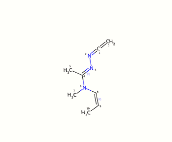 C=C=N/N=C(\C)N(C)/C=C\C